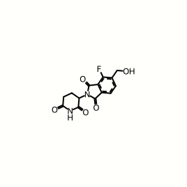 O=C1CCC(N2C(=O)c3ccc(CO)c(F)c3C2=O)C(=O)N1